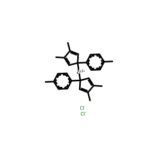 CC1=C[C]([Zr+2][C]2(c3ccc(C)cc3)C=C(C)C(C)=C2)(c2ccc(C)cc2)C=C1C.[Cl-].[Cl-]